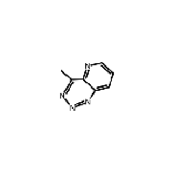 Cc1nnnc2cccnc12